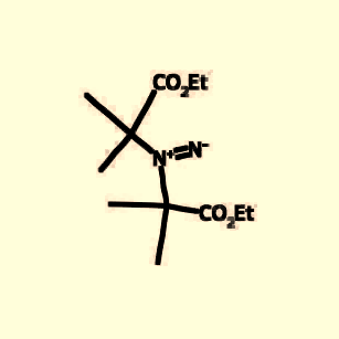 CCOC(=O)C(C)(C)[N+](=[N-])C(C)(C)C(=O)OCC